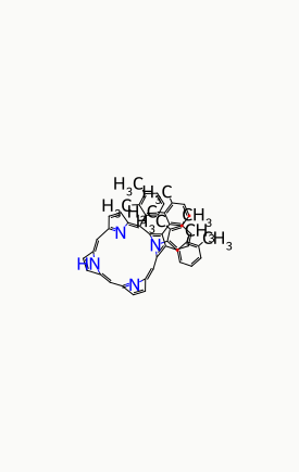 Cc1cccc(-c2c(-c3cccc(C)c3C)c3c(-c4cccc(C)c4C)c4nc(cc5ccc(cc6nc(cc2n3-c2cccc(C)c2C)C=C6)[nH]5)C=C4)c1C